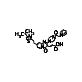 CC(C)c1csc(CCc2ccn3c(=O)c(/C=C/C(=O)O)c(N4CCN(C(=O)C[n+]5ccccc5)CC4)nc3c2)n1